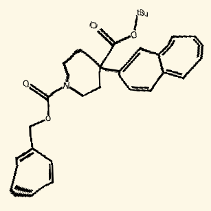 CC(C)(C)OC(=O)C1(c2ccc3ccccc3c2)CCN(C(=O)OCc2ccccc2)CC1